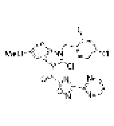 COc1ccc2c(c1)c(C(=O)c1nc(-c3ncccn3)no1)c(Cl)n2Cc1ccc(Cl)cc1Cl